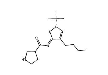 CCCCc1cn(C(C)(C)C)s/c1=N\C(=O)C1CCNC1